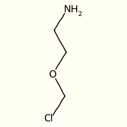 NCCOCCl